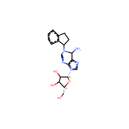 NC1c2ncn([C@@H]3O[C@H](CO)C(O)C3O)c2N=CN1C1CCc2ccccc21